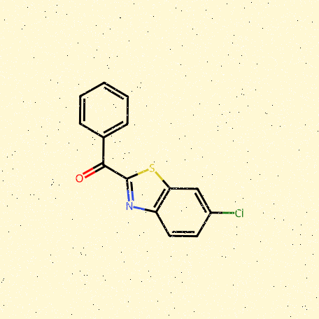 O=C(c1ccccc1)c1nc2ccc(Cl)cc2s1